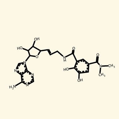 CN(C)C(=O)c1cc(O)c(O)c(C(=O)NCC=CC2OC(n3cnc4c(N)ncnc43)C(O)C2O)c1